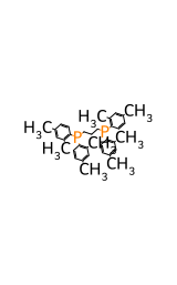 Cc1ccc(P(CCCP(c2ccc(C)cc2C)c2ccc(C)cc2C)c2ccc(C)cc2C)c(C)c1